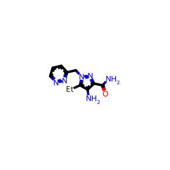 CCc1c(N)c(C(N)=O)nn1Cc1cccnn1